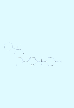 CC(=C1CCC(O)(C2CCCCC2)CC1)c1ccc(C(C)(C)C2CCC(O)CC2)cc1